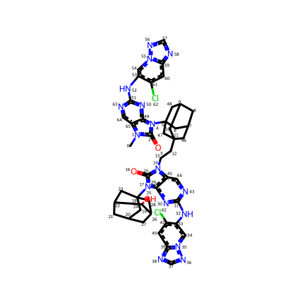 Cn1c(=O)n(C23CC4CC(CC(CCn5c(=O)n(C67CC8CC(C6)C(O)C(C8)C7)c6nc(Nc7cn8ncnc8cc7Cl)ncc65)(C4)C2)C3)c2nc(Nc3cn4ncnc4cc3Cl)ncc21